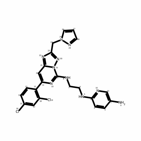 Nc1ccc(NCCNc2nc(-c3ccc(Cl)cc3Cl)cc3nc(Cn4cccn4)nn23)nc1